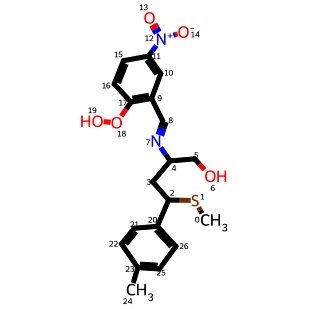 CSC(CC(CO)N=Cc1cc([N+](=O)[O-])ccc1OO)c1ccc(C)cc1